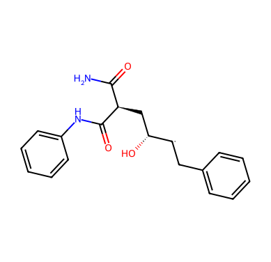 NC(=O)[C@@H](C[C@@H](O)[CH]Cc1ccccc1)C(=O)Nc1ccccc1